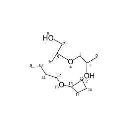 CC(O)COC(C)CO.CCCCOC1CCC1